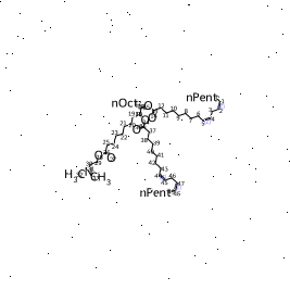 CCCCC/C=C\C/C=C\CCCCCCCC(=O)O[C@@H](CCCCCCCC)[C@@H](CCCCCCCC(=O)OCCN(C)C)OC(=O)CCCCCCC/C=C\C/C=C\CCCCC